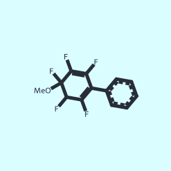 COC1(F)C(F)=C(F)C(c2ccccc2)=C(F)C1F